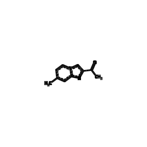 CC(=O)c1cn2ccc(C)cc2n1